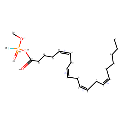 CCCCC/C=C\C/C=C\C/C=C\C/C=C\CCCC(=O)OP(=O)(F)OC